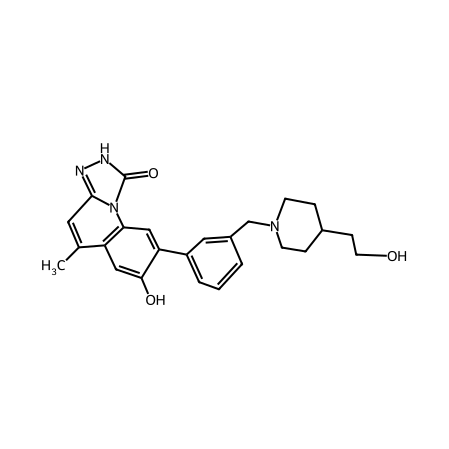 Cc1cc2n[nH]c(=O)n2c2cc(-c3cccc(CN4CCC(CCO)CC4)c3)c(O)cc12